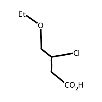 CCOCC(Cl)CC(=O)O